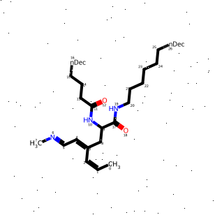 C\C=C/C(=C\C=N\C)CC(NC(=O)CCCCCCCCCCCCC)C(=O)NCCCCCCCCCCCCCCCC